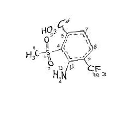 CS(=O)(=O)c1c(C(=O)O)ccc(C(F)(F)F)c1N